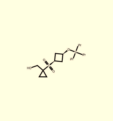 CC(C)[Si](O[C@H]1C[C@@H](S(=O)(=O)C2(CO)CC2)C1)(C(C)C)C(C)C